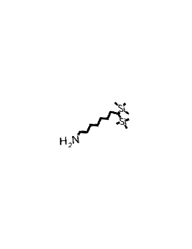 C[Si](C)(C)C(CCCCCCCN)[Si](C)(C)C